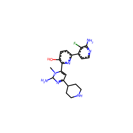 CN1C(c2nc(-c3ccnc(N)c3F)ccc2O)=CC(C2CCNCC2)=NC1N